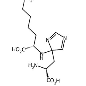 NCCCC[C@H](NC1(C[C@H](N)C(=O)O)C=NC=N1)C(=O)O